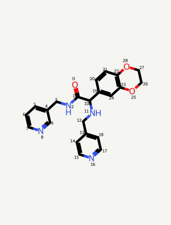 O=C(NCc1cccnc1)C(NCc1ccncc1)c1ccc2c(c1)OCCO2